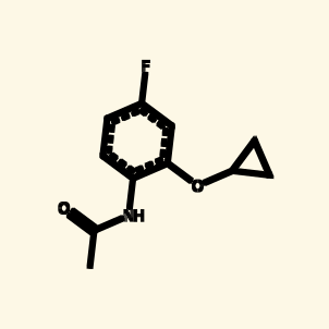 CC(=O)Nc1ccc(F)cc1OC1CC1